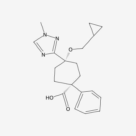 Cn1cnc([C@]2(OCC3CC3)CC[C@](C(=O)O)(c3ccccc3)CC2)n1